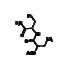 CC(=O)NC(CN)C(=O)NC(CC(C)C)C(N)=O